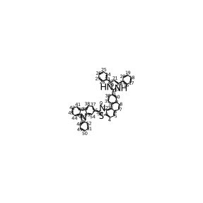 CN1c2c(ccc3ccc4cc(C5NC(c6ccccc6)=CC(c6ccccc6)N5)ccc4c23)SC1c1ccc2c3ccccc3n(-c3ccccc3)c2c1